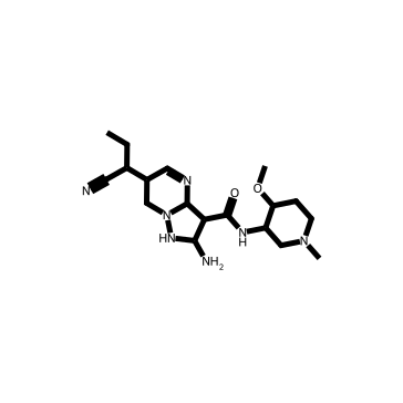 CCC(C#N)C1C=NC2C(C(=O)NC3CN(C)CCC3OC)C(N)NN2C1